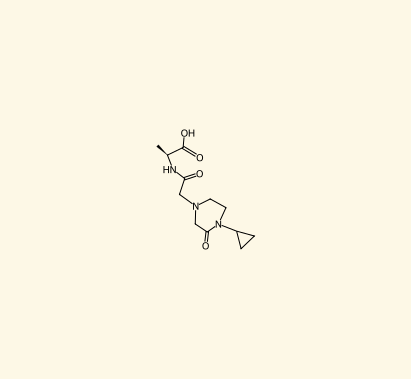 C[C@H](NC(=O)CN1CCN(C2CC2)C(=O)C1)C(=O)O